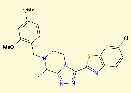 COc1ccc(CN2CCn3c(-c4nc5ccc(Cl)cc5s4)nnc3C2C)c(OC)c1